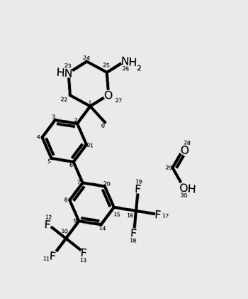 CC1(c2cccc(-c3cc(C(F)(F)F)cc(C(F)(F)F)c3)c2)CNCC(N)O1.O=CO